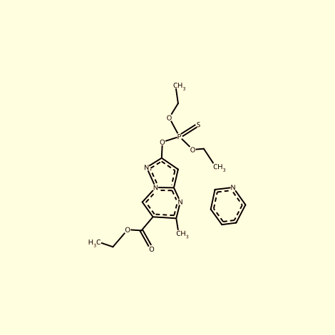 CCOC(=O)c1cn2nc(OP(=S)(OCC)OCC)cc2nc1C.c1ccncc1